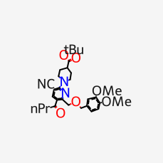 CCCC(=O)c1cc(C#N)c(N2CCC(C(=O)OC(C)(C)C)CC2)nc1COCc1ccc(OC)c(OC)c1